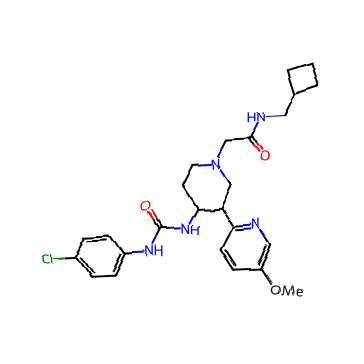 COc1ccc(C2CN(CC(=O)NCC3CCC3)CCC2NC(=O)Nc2ccc(Cl)cc2)nc1